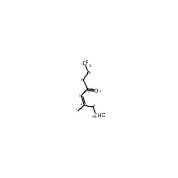 CC(=CC(=O)CCC(F)(F)F)CC=O